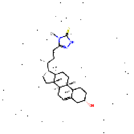 CCn1c(CC[C@@H](C)[C@H]2CC[C@H]3[C@@H]4CC=C5C[C@@H](O)CC[C@]5(C)[C@H]4CC[C@]23C)n[nH]c1=S